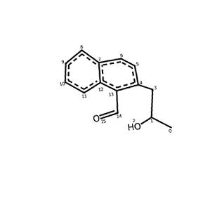 CC(O)Cc1ccc2ccccc2c1C=O